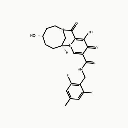 Cc1cc(F)c(CNC(=O)c2cn3c(c(O)c2=O)C(=O)N2CC[C@@H](O)CC[C@H]3C2)c(F)c1